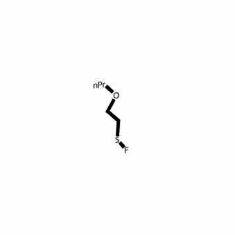 CCCOCCSF